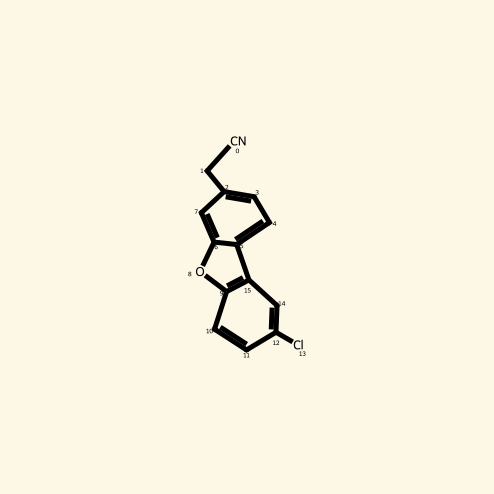 N#CCc1ccc2c(c1)oc1ccc(Cl)cc12